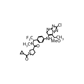 CO[C@@H](C)c1c(Nc2ccc([C@H](N(C)C(=O)C3CCN(C(=O)C4CC4)C3)C(F)(F)F)cc2)cnc2nc(Cl)nn12